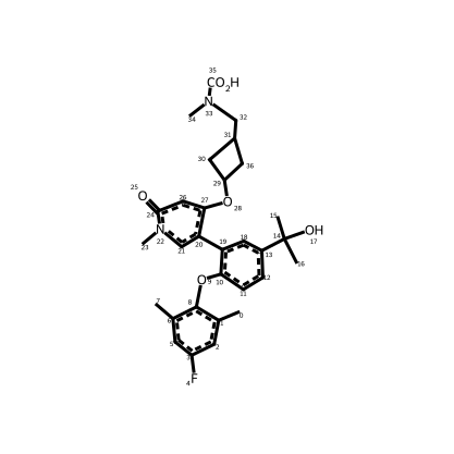 Cc1cc(F)cc(C)c1Oc1ccc(C(C)(C)O)cc1-c1cn(C)c(=O)cc1OC1CC(CN(C)C(=O)O)C1